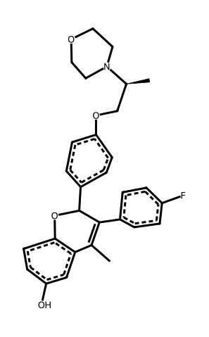 CC1=C(c2ccc(F)cc2)C(c2ccc(OC[C@H](C)N3CCOCC3)cc2)Oc2ccc(O)cc21